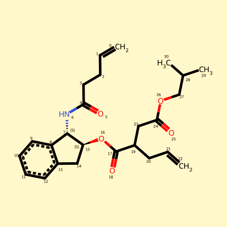 C=CCCC(=O)N[C@H]1c2ccccc2C[C@@H]1OC(=O)C(CC=C)CC(=O)OCC(C)C